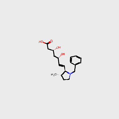 C[C@H]1CCN(Cc2ccccc2)[C@@H]1/C=C/[C@@H](O)C[C@@H](O)CC(=O)O